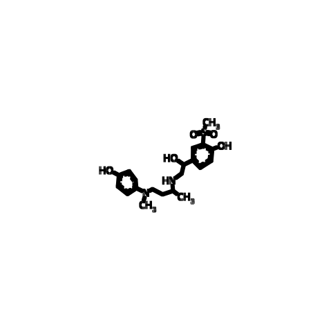 CC(CCN(C)c1ccc(O)cc1)NCC(O)c1ccc(O)c(S(C)(=O)=O)c1